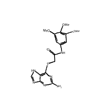 COc1cc(NC(=O)CSc2nc(N)nc3nc[nH]c23)cc(OC)c1OC